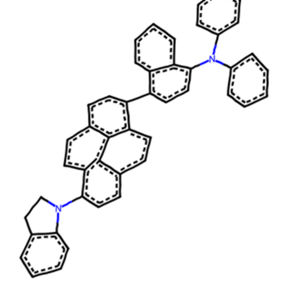 c1ccc(N(c2ccccc2)c2ccc(-c3ccc4ccc5c(N6CCc7ccccc76)ccc6ccc3c4c65)c3ccccc23)cc1